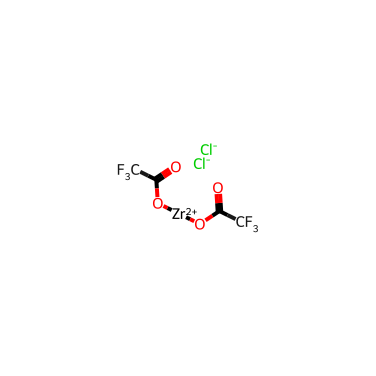 O=C([O][Zr+2][O]C(=O)C(F)(F)F)C(F)(F)F.[Cl-].[Cl-]